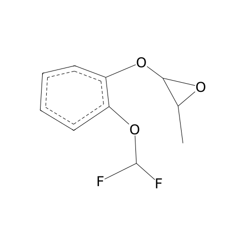 CC1OC1Oc1ccccc1OC(F)F